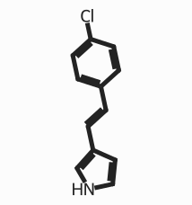 Clc1ccc(/C=C/c2cc[nH]c2)cc1